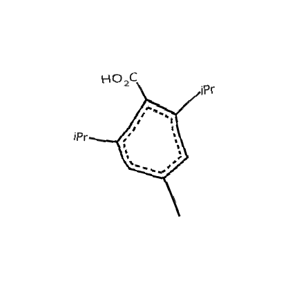 Cc1cc(C(C)C)c(C(=O)O)c(C(C)C)c1